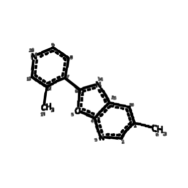 Cc1cnc2oc(-c3ccncc3C)nc2c1